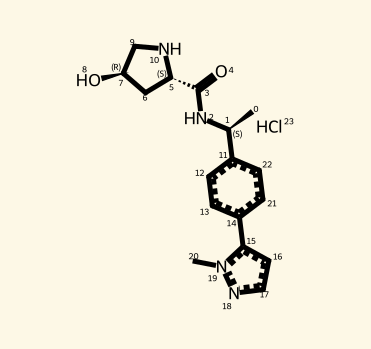 C[C@H](NC(=O)[C@@H]1C[C@@H](O)CN1)c1ccc(-c2ccnn2C)cc1.Cl